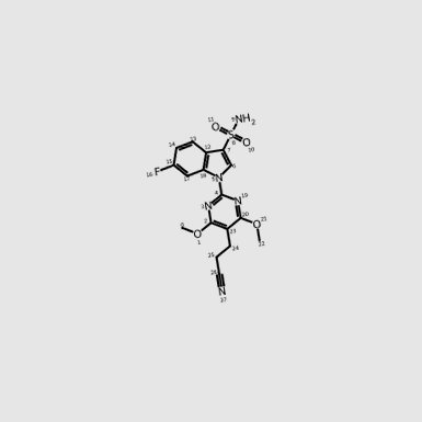 COc1nc(-n2cc(S(N)(=O)=O)c3ccc(F)cc32)nc(OC)c1CCC#N